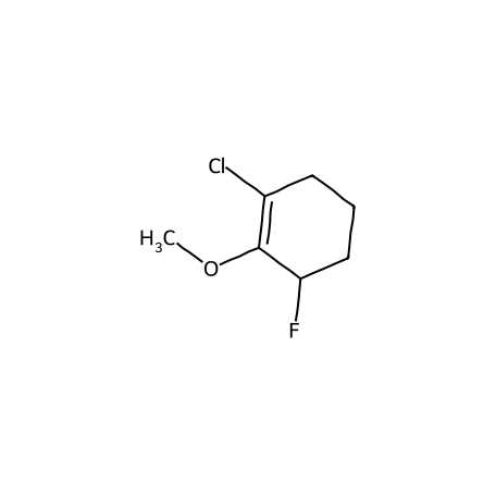 COC1=C(Cl)CCCC1F